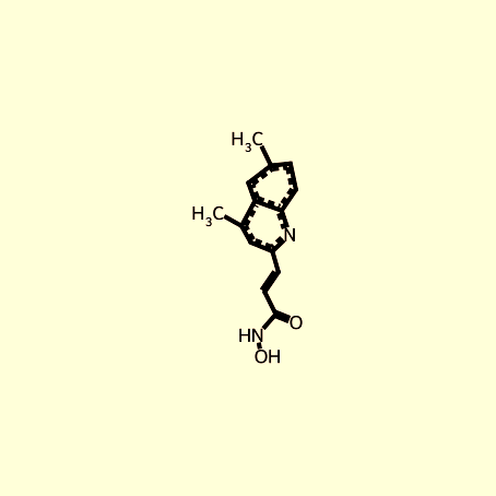 Cc1ccc2nc(/C=C/C(=O)NO)cc(C)c2c1